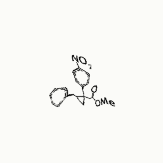 COC(=O)[C@]1(c2ccc([N+](=O)[O-])cc2)C[C@H]1c1ccccc1